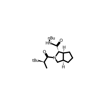 CCCCNC(=O)[C@@H]1[C@H]2CCC[C@H]2CN1C(=O)[C@@H](C)C(C)(C)C